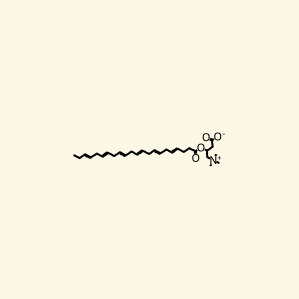 CC/C=C/C/C=C/C/C=C/C/C=C/C/C=C/C/C=C/CCC(=O)OC(CC(=O)[O-])C[N+](C)(C)C